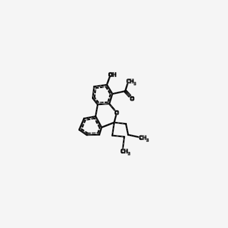 CCCC1(CCC)Oc2c(ccc(O)c2C(C)=O)-c2ccccc21